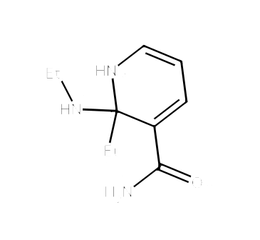 CCNC1(CC)NC=CC=C1C(N)=O